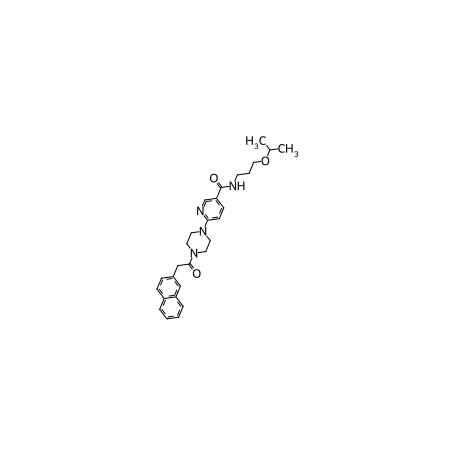 CC(C)OCCCNC(=O)c1ccc(N2CCN(C(=O)Cc3ccc4ccccc4c3)CC2)nc1